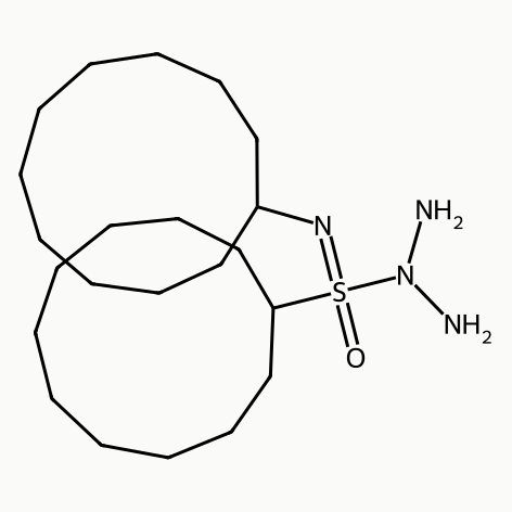 NN(N)S(=O)(=NC1CCCCCCCCCC1)C1CCCCCCCCCC1